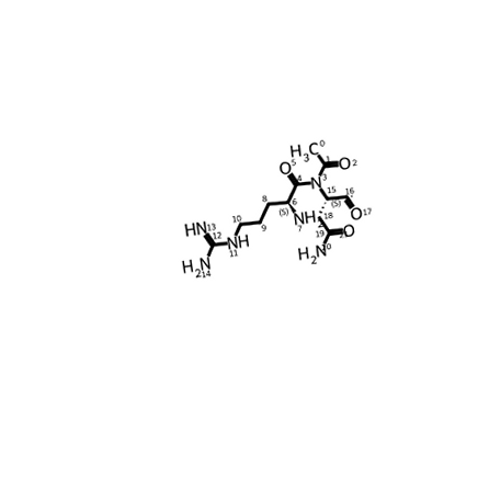 CC(=O)N(C(=O)[C@@H](N)CCCNC(=N)N)[C@H]([C]=O)CC(N)=O